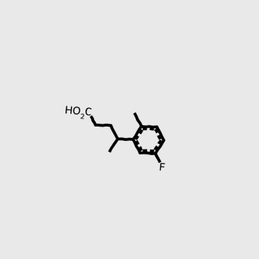 Cc1ccc(F)cc1C(C)CCC(=O)O